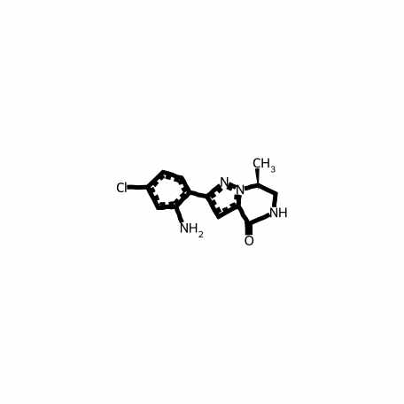 C[C@H]1CNC(=O)c2cc(-c3ccc(Cl)cc3N)nn21